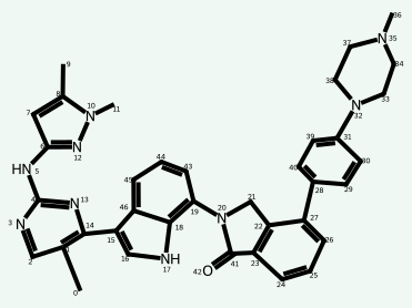 Cc1cnc(Nc2cc(C)n(C)n2)nc1-c1c[nH]c2c(N3Cc4c(cccc4-c4ccc(N5CCN(C)CC5)cc4)C3=O)cccc12